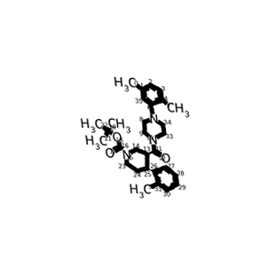 Cc1ccc(C)c(N2CCN(C(=O)[C@@H]3CN(C(=O)OC(C)(C)C)CC[C@H]3c3ccccc3C)CC2)c1